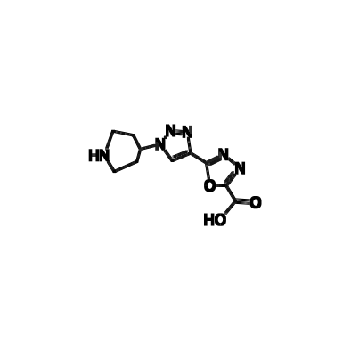 O=C(O)c1nnc(-c2cn(C3CCNCC3)nn2)o1